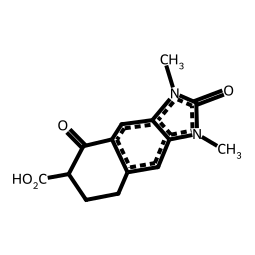 Cn1c(=O)n(C)c2cc3c(cc21)CCC(C(=O)O)C3=O